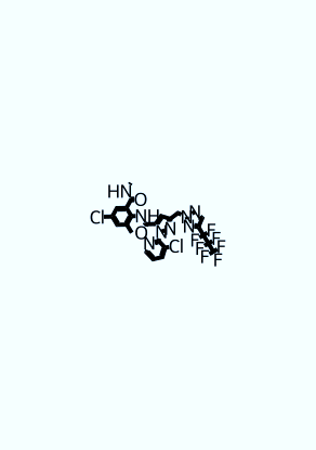 CNC(=O)c1cc(Cl)cc(C)c1NC(=O)c1cc(Cn2ncc(C(F)(F)C(F)(F)C(F)(F)F)n2)nn1-c1ncccc1Cl